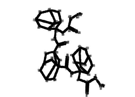 CCCOC(=O)CC1(OC(=O)C23CC4CC(C2)CC(C(=O)OC2(CC(=O)OCCC)C5CC6CC(C5)CC2C6)(C4)C3)C2CC3CC(C2)CC1C3